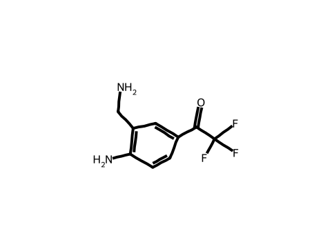 NCc1cc(C(=O)C(F)(F)F)ccc1N